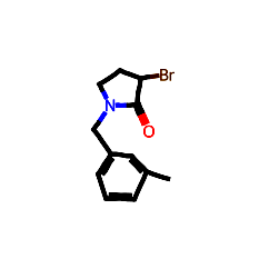 Cc1cccc(CN2CCC(Br)C2=O)c1